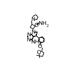 CC1(C)CCC(COc2cccc(-c3cn(C4CC(CN5CCC[C@@H]5C(N)=O)C4)c4ncnc(N)c34)c2)O1